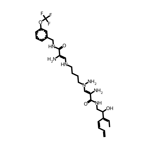 C=C/C=C\C(=C/C)C(O)CNC(=O)/C(N)=C/N(N)CCCCN/C=C(\N)C(=O)NCc1cccc(OC(F)(F)F)c1